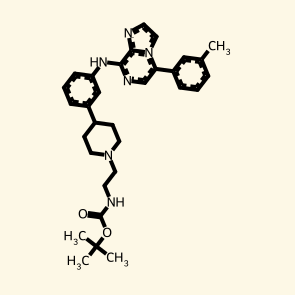 Cc1cccc(-c2cnc(Nc3cccc(C4CCN(CCNC(=O)OC(C)(C)C)CC4)c3)c3nccn23)c1